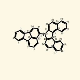 c1ccc2c(c1)-c1cccc3c(-n4c5ccc6ccccc6c5c5c6ccccc6ccc54)ccc-2c13